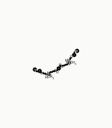 Cn1nc(CCCCOC(=O)c2ccc(C(=O)OCCCCc3nc(NCCCOc4cccc(CN5CCCCC5)c4)n(C)n3)cc2)nc1NCCCOc1cccc(CN2CCCCC2)c1